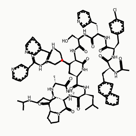 CC(=O)N[C@@H](Cc1ccc2ccccc2c1)C(=O)N[C@H](Cc1ccc(Cl)cc1)C(=O)N[C@@H](Cc1cccnc1)C(=O)N[C@H](CO)C(=O)N[C@H](CCCCNC(=O)c1cccnc1)C(=O)N[C@H](CCCCNC(=O)c1cccnc1)C(=O)N[C@@H](CC(C)C)C(=O)N[C@@H](CCCCNC(C)C)C(=O)N1CCC[C@H]1C(=O)ON[C@H](C)C(N)=O